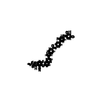 CCN(C)S(=O)(=O)Nc1ccc(F)c(Oc2ccc3ncc(C4COC5(CCN(C(=O)CN6CCC(c7ccc(NC8CCC(=O)NC8=O)cc7F)CC6)CC5)C4)nc3c2)c1C#N